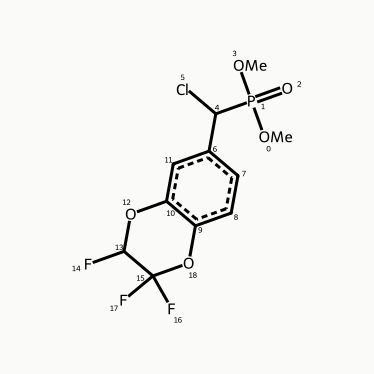 COP(=O)(OC)C(Cl)c1ccc2c(c1)OC(F)C(F)(F)O2